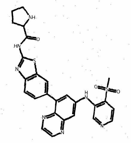 CS(=O)(=O)c1ccncc1Nc1cc(-c2ccc3nc(NC(=O)C4CCCN4)sc3c2)c2nccnc2c1